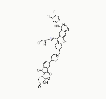 COc1cc2ncnc(Nc3ccc(F)c(Cl)c3)c2cc1C(/C=C/CNC=O)N1CCC(CN2CCC(c3ccc4c(c3)C(=O)N(C3CCC(=O)NC3=O)C4=O)CC2)CC1